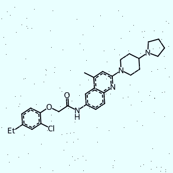 CCc1ccc(OCC(=O)Nc2ccc3nc(N4CCC(N5CCCC5)CC4)cc(C)c3c2)c(Cl)c1